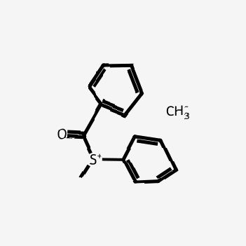 C[S+](C(=O)c1ccccc1)c1ccccc1.[CH3-]